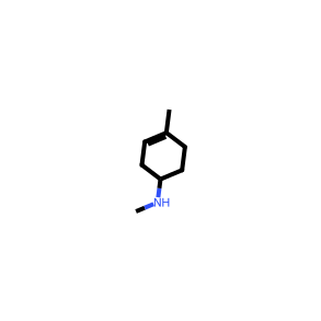 CNC1CC=C(C)CC1